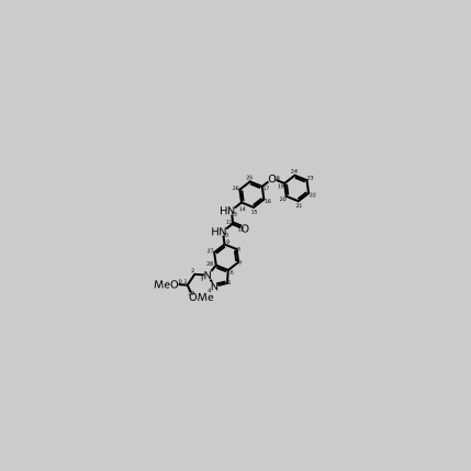 COC(Cn1ncc2ccc(NC(=O)Nc3ccc(Oc4ccccc4)cc3)cc21)OC